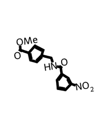 COC(=O)c1ccc(CNC(=O)c2cccc([N+](=O)[O-])c2)cc1